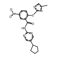 Cc1csc(Sc2ccc([N+](=O)[O-])cc2C(=O)Nc2ncc(C3CCCC3)cn2)n1